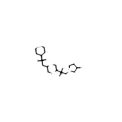 CC(C)(C)C1CCN(CC(C)(C)C2COC(CC(C)(C)C3CCOCC3)CO2)C1